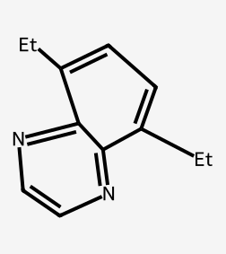 CCc1ccc(CC)c2nccnc12